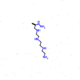 C=C(CNCCNCCNCCN)NN